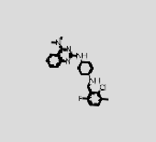 Cc1ccc(F)c(CN[C@H]2CC[C@@H](Nc3nc(N(C)C)c4ccccc4n3)CC2)c1Cl